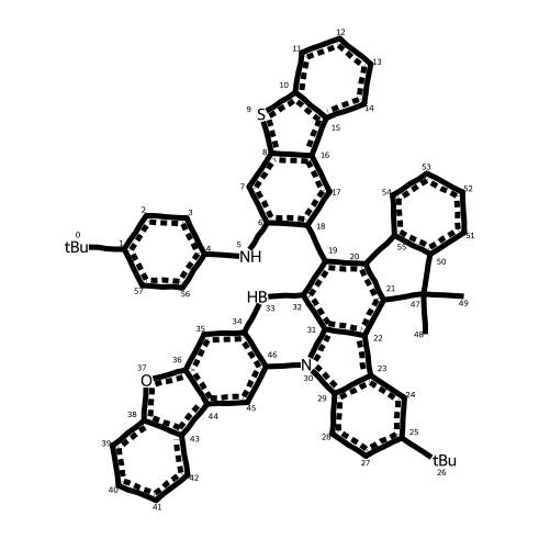 CC(C)(C)c1ccc(Nc2cc3sc4ccccc4c3cc2-c2c3c(c4c5cc(C(C)(C)C)ccc5n5c4c2Bc2cc4oc6ccccc6c4cc2-5)C(C)(C)c2ccccc2-3)cc1